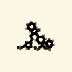 Cc1nnn(CCc2c(C3CCC(c4ccccc4)(N(C)C)CC3)[nH]c3ccccc23)n1